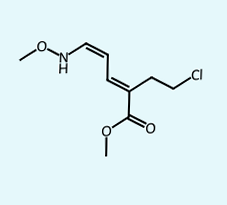 CON/C=C\C=C(/CCCl)C(=O)OC